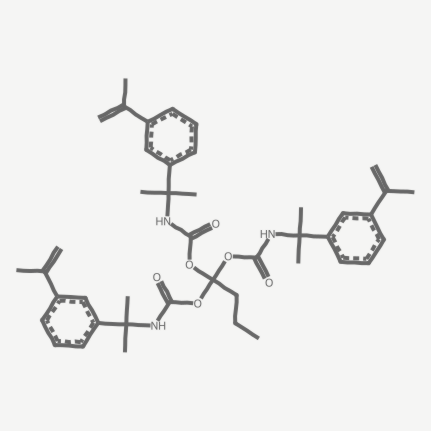 C=C(C)c1cccc(C(C)(C)NC(=O)OC(CCC)(OC(=O)NC(C)(C)c2cccc(C(=C)C)c2)OC(=O)NC(C)(C)c2cccc(C(=C)C)c2)c1